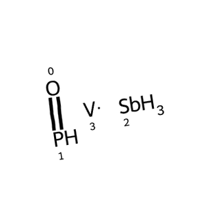 O=P.[SbH3].[V]